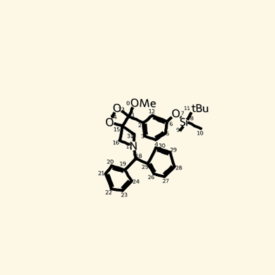 COC1(c2cccc(O[Si](C)(C)C(C)(C)C)c2)OOC12CN(C(c1ccccc1)c1ccccc1)C2